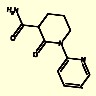 NC(=O)C1CCCN(c2cc[c]cn2)C1=O